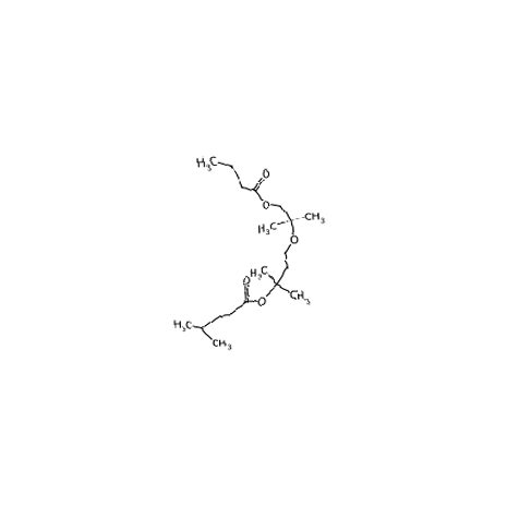 CCCC(=O)OCC(C)(C)OCCC(C)(C)OC(=O)CCC(C)C